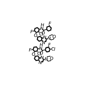 O=C(Nc1ccc(F)c(Oc2ccc3ncc(N4CCOCC4)nc3c2)c1Cl)c1ccc(Cl)c(F)c1.O=C(Nc1ccc(F)c(Oc2ccc3ncc(N4CCOCC4)nc3c2)c1Cl)c1cccc(F)c1